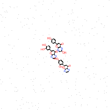 O=c1cc(-c2ccc(O)c(O)c2)oc2nccnc12.O=c1cc(-c2ccc(O)cc2)oc2ncc(O)nc12.O=c1cc(-c2ccc(O)cc2O)oc2nccnc12